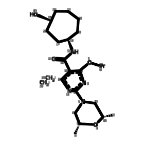 CC(C)Oc1nc(N2C[C@@H](C)O[C@@H](C)C2)ncc1C(=O)N[C@@H]1[CH]CCC[C@H](O)CC1.[CH2].[CH2]